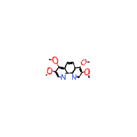 COc1cnc2c(ccc3c(OC)c(OC)cnc32)c1OC